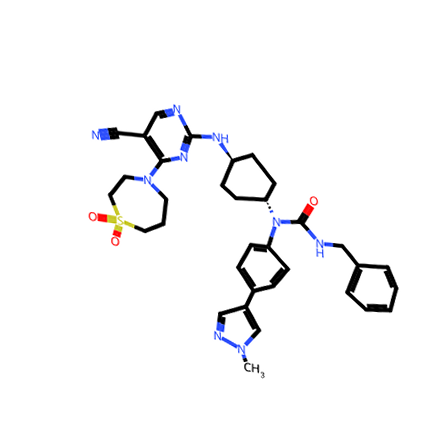 Cn1cc(-c2ccc(N(C(=O)NCc3ccccc3)[C@H]3CC[C@H](Nc4ncc(C#N)c(N5CCCS(=O)(=O)CC5)n4)CC3)cc2)cn1